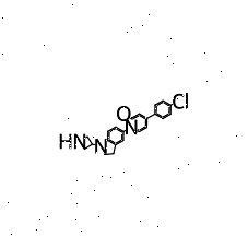 O=c1cc(-c2ccc(Cl)cc2)ccn1-c1ccc2c(c1)CCN2C1CNC1